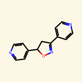 c1cc(C2=NOC(c3ccncc3)C2)ccn1